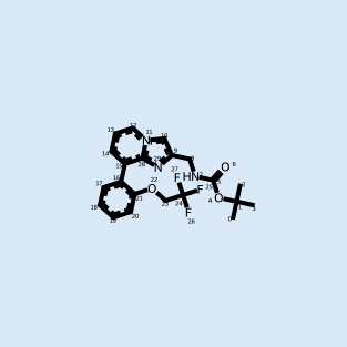 CC(C)(C)OC(=O)NCc1cn2cccc(-c3ccccc3OCC(F)(F)F)c2n1